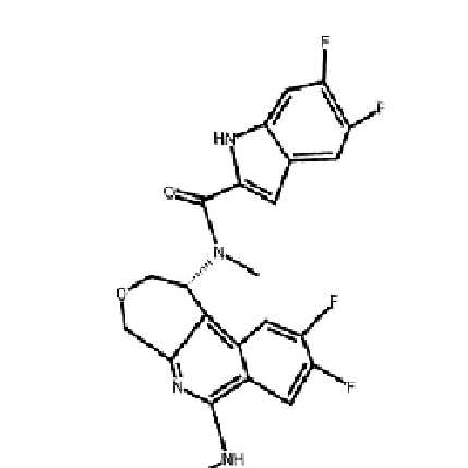 CNc1nc2c(c3cc(F)c(F)cc13)[C@@H](N(C)C(=O)c1cc3cc(F)c(F)cc3[nH]1)COC2